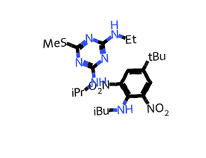 CCC(C)Nc1c([N+](=O)[O-])cc(C(C)(C)C)cc1[N+](=O)[O-].CCNc1nc(NC(C)C)nc(SC)n1